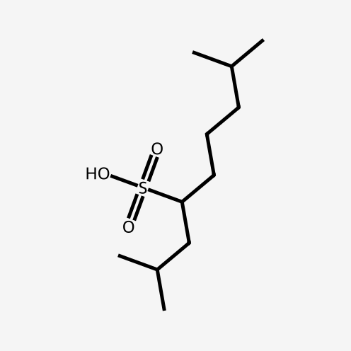 CC(C)CCCC(CC(C)C)S(=O)(=O)O